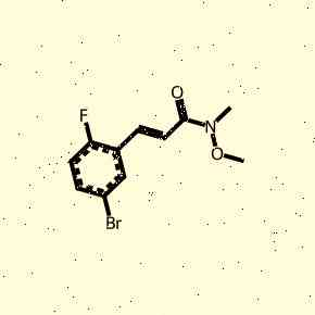 CON(C)C(=O)C=Cc1cc(Br)ccc1F